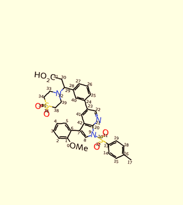 COc1ccccc1-c1cn(S(=O)(=O)c2ccc(C)cc2)c2ncc(-c3cccc(C(CC(=O)O)N4CCS(=O)(=O)CC4)c3)cc12